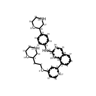 c1cc(-c2cc(OCCC3CNCCO3)ccn2)c2nc(Nc3ccc(C4CNCCO4)cc3)ncc2c1